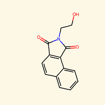 O=C1c2ccc3ccccc3c2C(=O)N1CCO